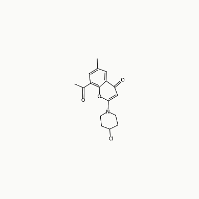 CC(=O)c1cc(C)cc2c(=O)cc(N3CCC(Cl)CC3)oc12